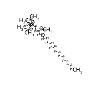 CCCCCCCCCCCCCCCCOCC(/C=C/P(=O)(OC(C)C)OC(C)C)OC